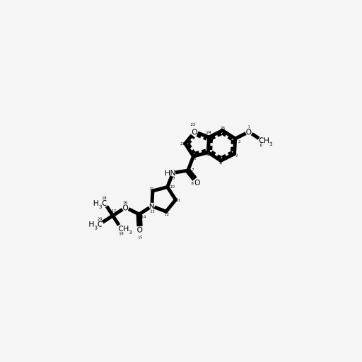 COc1ccc2c(C(=O)NC3CCN(C(=O)OC(C)(C)C)C3)coc2c1